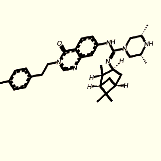 C[C@@H]1[C@@H](N=C(Nc2ccc3c(=O)n(CCc4ccc(Cl)cc4)cnc3c2)N2C[C@@H](C)N[C@@H](C)C2)C[C@H]2C[C@@H]1C2(C)C